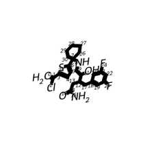 C=C(Cl)c1ccc(C2(NCC(O)C(CC(N)=O)Cc3cc(F)cc(F)c3)CCCCC2)s1